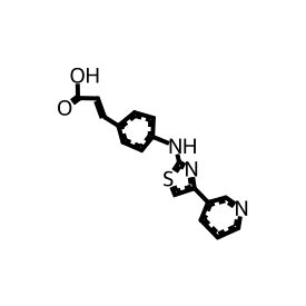 O=C(O)C=Cc1ccc(Nc2nc(-c3cccnc3)cs2)cc1